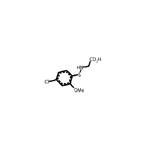 COc1cc(Cl)ccc1SNCC(=O)O